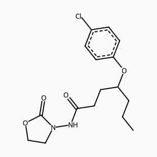 CCCC(CCC(=O)NN1CCOC1=O)Oc1ccc(Cl)cc1